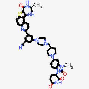 C[C@@H]1CNc2c(sc3ccc4nc(-c5cc(C#N)cc(N6CCN(CC7CCN(c8ccc9c(c8)n(C)c(=O)n9C8CCC(=O)NC8=O)CC7)CC6)c5)ccc4c23)C(=O)N1